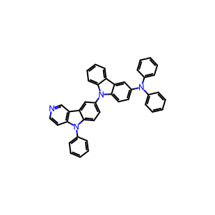 c1ccc(N(c2ccccc2)c2ccc3c(c2)c2ccccc2n3-c2ccc3c(c2)c2cnccc2n3-c2ccccc2)cc1